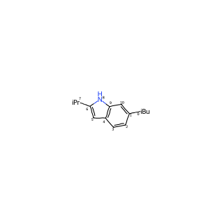 CCC(C)c1ccc2cc(C(C)C)[nH]c2c1